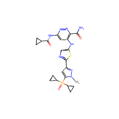 Cn1nc(-c2ncc(Nc3cc(NC(=O)C4CC4)nnc3C(N)=O)s2)cc1P(=O)(C1CC1)C1CC1